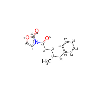 CC(CCC(=O)n1ccoc1=O)Cc1ccccc1